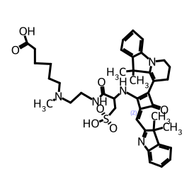 CN(CCCCCC(=O)O)CCNC(=O)C(CS(=O)(=O)O)NC1=C(C2=C3N(CCC2)c2ccccc2C3(C)C)C(=O)/C1=C\C1=Nc2ccccc2C1(C)C